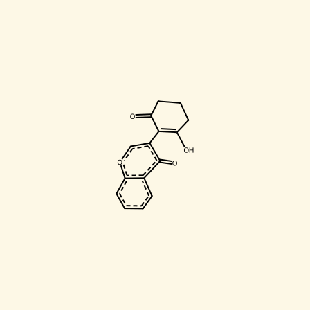 O=C1CCCC(O)=C1c1coc2ccccc2c1=O